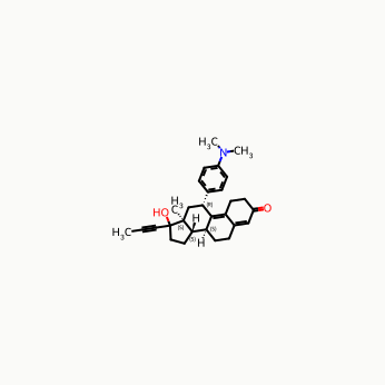 CC#CC1(O)CC[C@H]2[C@@H]3CCC4=CC(=O)CCC4=C3[C@@H](c3ccc(N(C)C)cc3)C[C@@]21C